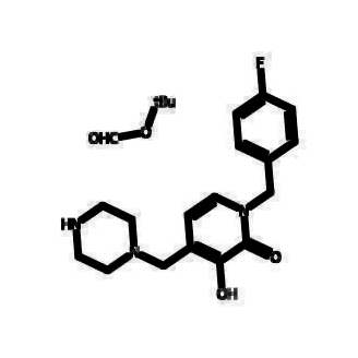 CC(C)(C)OC=O.O=c1c(O)c(CN2CCNCC2)ccn1Cc1ccc(F)cc1